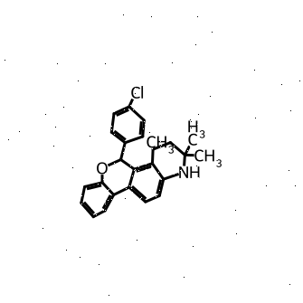 CC1CC(C)(C)Nc2ccc3c(c21)C(c1ccc(Cl)cc1)Oc1ccccc1-3